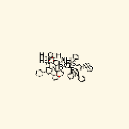 CC(C)(C)c1cc2c3c(c1)N(c1c(-c4ccccc4)cc(-c4ccccc4)cc1-c1ccccc1)c1ccccc1B3c1cc3c(cc1N2)[SH](c1ccccc1)c1cc(N2C4CC5CC4CC52)cc2c1B3c1ccccc1N2c1ccccc1